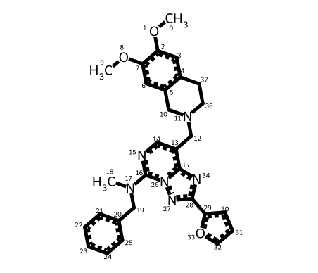 COc1cc2c(cc1OC)CN(Cc1cnc(N(C)Cc3ccccc3)n3nc(-c4ccco4)nc13)CC2